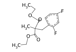 CCOC(=O)C(C)(Cc1ccc(F)cc1F)C(=O)OCC